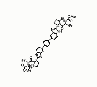 CC[C@@H]1CC[C@@H](c2nc3cc(-c4ccc(-c5ccc6[nH]c([C@@H]7CC[C@@H](CC)N7C(=O)[C@@H](NC(=O)OC)C(C)C)nc6c5)cc4)ccc3[nH]2)N1C(=O)C(NC(=O)OC)C(C)C